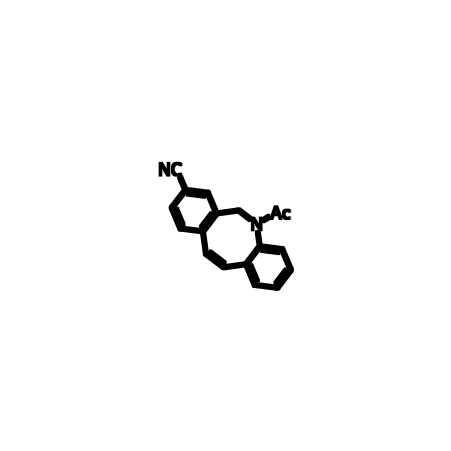 CC(=O)N1Cc2cc(C#N)ccc2C=Cc2ccccc21